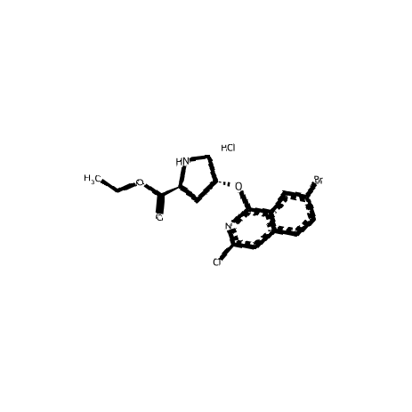 CCOC(=O)[C@@H]1C[C@@H](Oc2nc(Cl)cc3ccc(Br)cc23)CN1.Cl